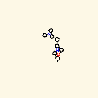 C=C/C=C\c1oc2c(-n3c4ccccc4c4cc(-c5cccc(-c6ccc7c(c6)c6ccccc6n7-c6ccccc6)c5)ccc43)cccc2c1C